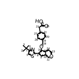 CC(C)(C)c1csc(-c2cc3coccc-3c2OCc2ccc(CC(=O)O)cc2)n1